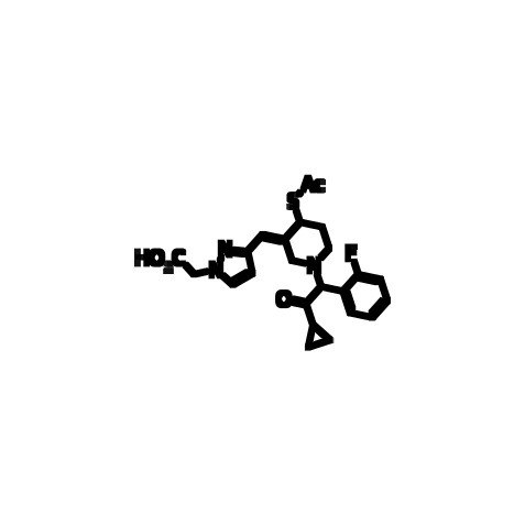 CC(=O)SC1CCN(C(C(=O)C2CC2)c2ccccc2F)CC1=Cc1ccn(CC(=O)O)n1